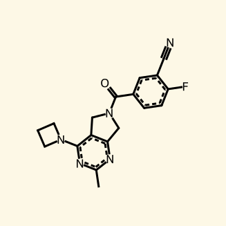 Cc1nc2c(c(N3CCC3)n1)CN(C(=O)c1ccc(F)c(C#N)c1)C2